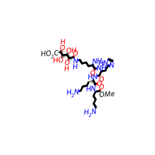 COC(=O)C(CCCCN)NC(=O)[C@H](CCCCN)NC(=O)C(Cc1ncc[nH]1)NC(=O)C(N)CCCCNC(=O)[C@@H](O)[C@H](O)[C@H](O)[C@@H](O)C(=O)O